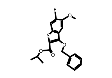 COc1cc2c(OCc3ccccc3)c(C(=O)OC(C)C)sc2cc1F